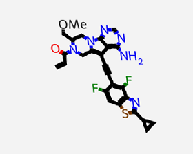 C=CC(=O)N1Cc2c(C#Cc3c(F)cc4sc(C5CC5)nc4c3F)c3c(N)ncnc3n2CC1COC